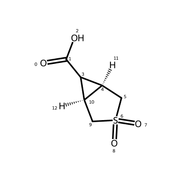 O=C(O)C1[C@H]2CS(=O)(=O)C[C@@H]12